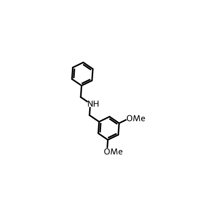 COc1cc(CNCc2ccccc2)cc(OC)c1